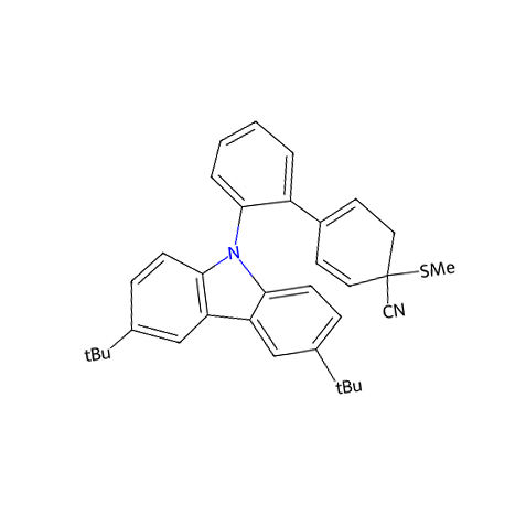 CSC1(C#N)C=CC(c2ccccc2-n2c3ccc(C(C)(C)C)cc3c3cc(C(C)(C)C)ccc32)=CC1